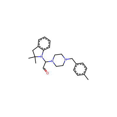 Cc1ccc(CN2CCN(C(C=O)N3c4ccccc4CC3(C)C)CC2)cc1